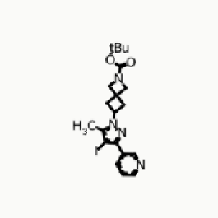 Cc1c(I)c(-c2cccnc2)nn1C1CC2(C1)CN(C(=O)OC(C)(C)C)C2